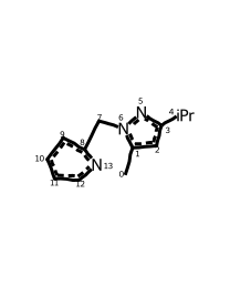 Cc1cc(C(C)C)nn1Cc1ccccn1